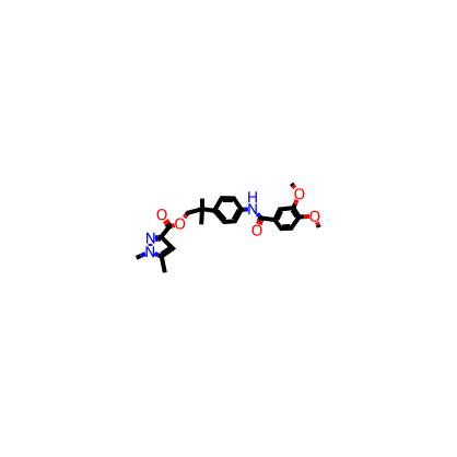 COc1ccc(C(=O)Nc2ccc(C(C)(C)COC(=O)c3cc(C)n(C)n3)cc2)cc1OC